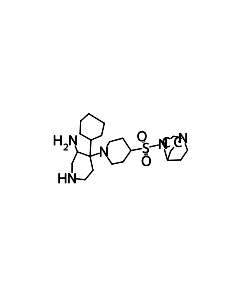 NC1CNCCC1(C1CCCCC1)N1CCC(S(=O)(=O)N2CCN3CCC2CC3)CC1